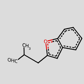 CC(C=O)Cc1cc2ccccc2o1